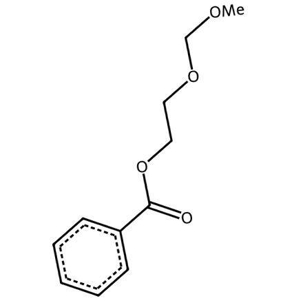 COCOCCOC(=O)c1ccccc1